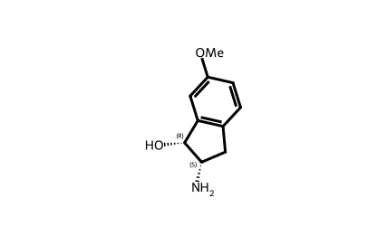 COc1ccc2c(c1)[C@@H](O)[C@@H](N)C2